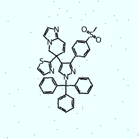 CS(=O)(=O)c1ccc(-c2nn(C(c3ccccc3)(c3ccccc3)c3ccccc3)cc2C2(c3nccs3)C=Cc3nccn3C2)cc1